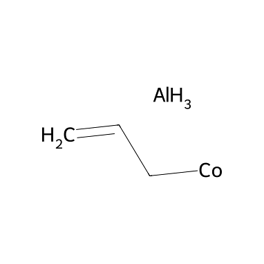 C=C[CH2][Co].[AlH3]